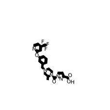 CC1CN(Cc2cccc(Oc3cc(C(F)(F)F)ccn3)c2)CCN1C(=O)n1ccc(C(=O)O)n1